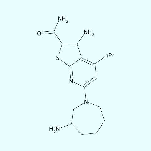 CCCc1cc(N2CCCCC(N)C2)nc2sc(C(N)=O)c(N)c12